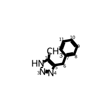 Cc1[nH]nnc1Cc1ccccc1